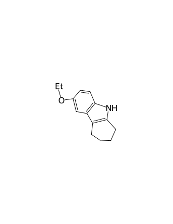 CCOc1ccc2[nH]c3c(c2c1)CCCC3